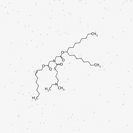 CCCCCC/C=C\COC(=O)CN(CC(=O)OC(CCCCCCCC)CCCCCCCC)C(=O)SCCCN(C)CC